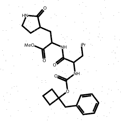 COC(=O)C(CC1CCNC1=O)NC(=O)C(CC(C)C)NC(=O)OC1(Cc2ccccc2)CCC1